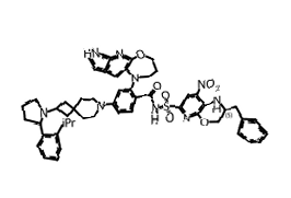 CC(C)c1ccccc1C1CCCN1C1CC2(CCN(c3ccc(C(=O)NS(=O)(=O)c4cc([N+](=O)[O-])c5c(n4)OC[C@H](Cc4ccccc4)N5)c(N4CCCOc5nc6[nH]ccc6cc54)c3)CC2)C1